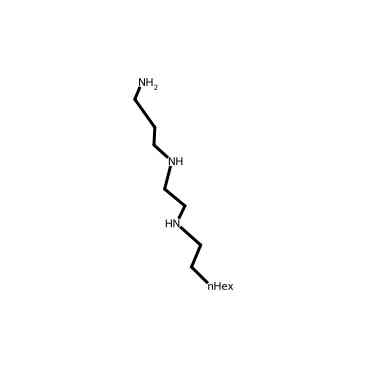 [CH2]CCCCCCCNCCNCCCN